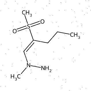 CCC/C(=C\N(C)N)S(C)(=O)=O